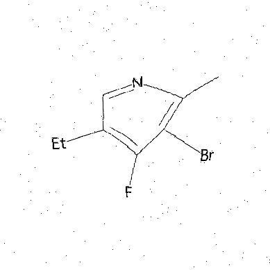 CCc1cnc(C)c(Br)c1F